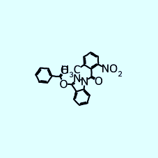 Cc1cccc([N+](=O)[O-])c1C(=O)n1nc(OC(=O)c2ccccc2)c2ccccc21